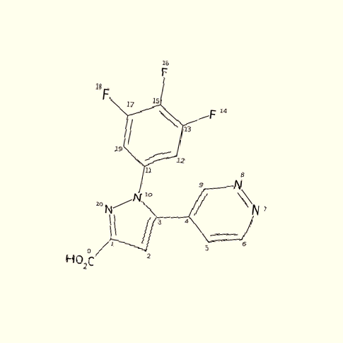 O=C(O)c1cc(-c2ccnnc2)n(-c2cc(F)c(F)c(F)c2)n1